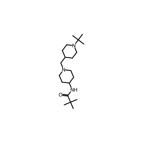 CC(C)(C)C(=O)NC1CCN(CC2CCN(C(C)(C)C)CC2)CC1